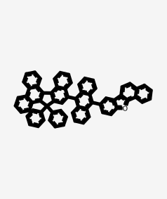 c1ccc(C2(c3ccccc3)c3cc(-c4c5ccccc5c(-c5ccc6oc7c8ccccc8ccc7c6c5)c5ccccc45)c4ccccc4c3-c3c2c2ccccc2c2ccccc32)cc1